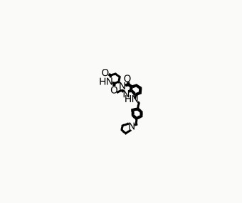 Cc1nc2c(NCc3ccc(CN4CCCCC4)cc3)cccc2c(=O)n1C1CCC(=O)NC1=O